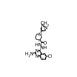 Cn1cc(N2CCC[C@H](C(=O)NNc3nc(N)nc4ccc(Cl)cc34)C2)cn1